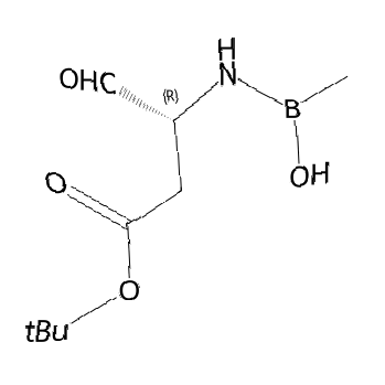 CB(O)N[C@@H](C=O)CC(=O)OC(C)(C)C